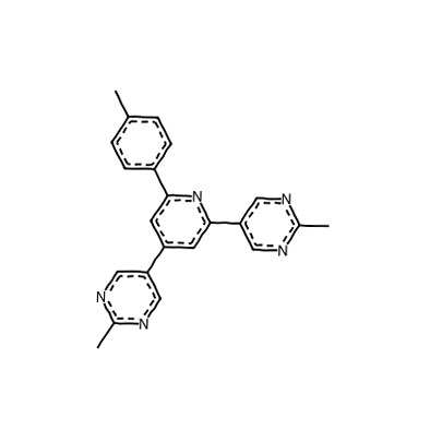 Cc1ccc(-c2cc(-c3cnc(C)nc3)cc(-c3cnc(C)nc3)n2)cc1